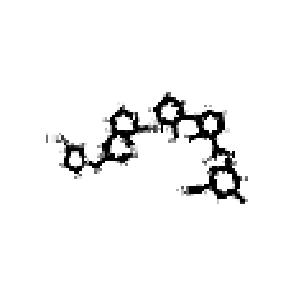 Cc1cc(C#N)c2oc(-c3cccc(-c4cccc(Nc5nccc6cc(CN7CC[C@@H](O)C7)cnc56)c4C)c3C)nc2c1